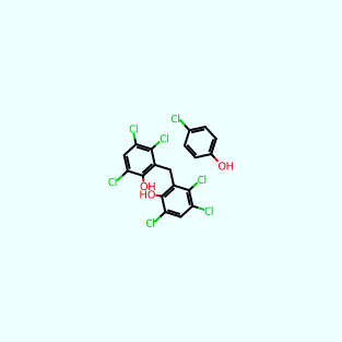 Oc1c(Cl)cc(Cl)c(Cl)c1Cc1c(O)c(Cl)cc(Cl)c1Cl.Oc1ccc(Cl)cc1